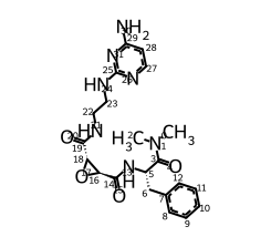 CN(C)C(=O)[C@H](Cc1ccccc1)NC(=O)[C@H]1O[C@@H]1C(=O)NCCNc1nccc(N)n1